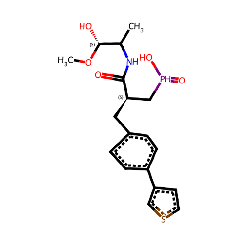 CO[C@H](O)C(C)NC(=O)[C@H](Cc1ccc(-c2ccsc2)cc1)C[PH](=O)O